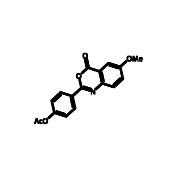 COc1ccc2nc(-c3ccc(OC(C)=O)cc3)oc(=O)c2c1